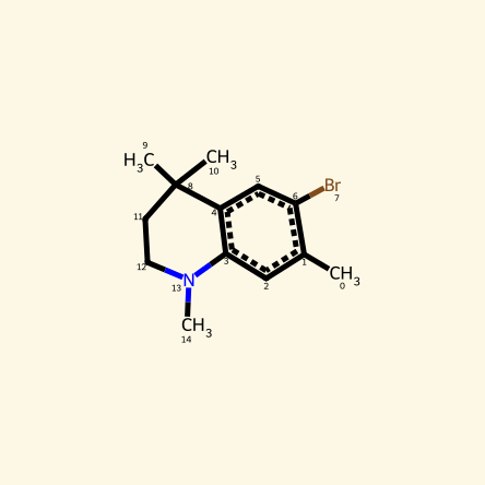 Cc1cc2c(cc1Br)C(C)(C)CCN2C